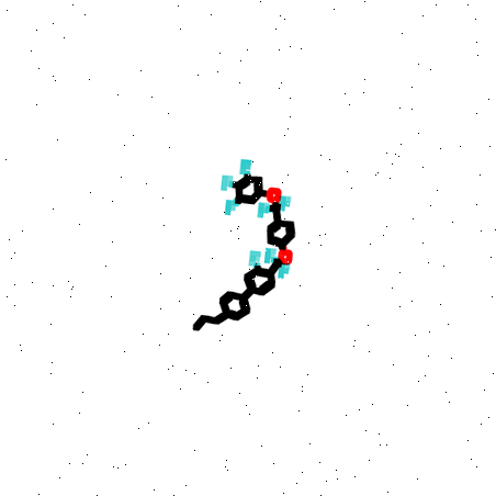 CCCc1ccc(-c2ccc(C(F)(F)Oc3ccc(C(F)(F)Oc4cc(F)c(F)c(F)c4)cc3)c(F)c2)cc1